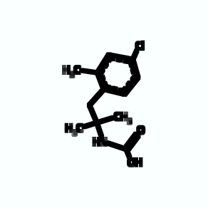 Cc1cc(Cl)ccc1CC(C)(C)NC(=O)O